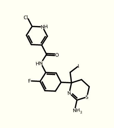 NC1=NC(CI)(C2C=C(NC(=O)C3=CNC(Cl)C=C3)C(F)=CC2)CCS1